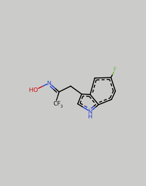 O/N=C(/Cc1c[nH]c2ccc(F)cc12)C(F)(F)F